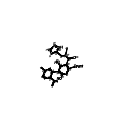 C=C(C)c1ccc(C)cc1-c1c(O)cc(CCCCC)c(C(=O)N(C)Cc2nnn[nH]2)c1O